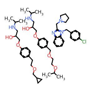 CC(C)NCC(O)COc1ccc(CCOCC2CC2)cc1.CC(C)NCC(O)COc1ccc(COCCOC(C)C)cc1.Clc1ccc(Cn2c(CN3CCCC3)nc3ccccc32)cc1